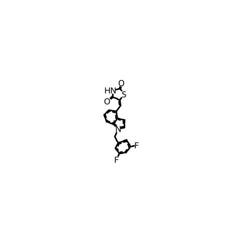 O=C1NC(=O)C(=Cc2cccc3c2ccn3Cc2cc(F)cc(F)c2)S1